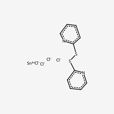 [Cl-].[Cl-].[Cl-].[Cl-].[Sn+4].c1ccc(SSc2ccccn2)nc1